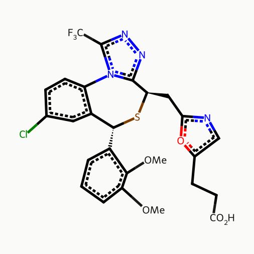 COc1cccc([C@H]2S[C@H](Cc3ncc(CCC(=O)O)o3)c3nnc(C(F)(F)F)n3-c3ccc(Cl)cc32)c1OC